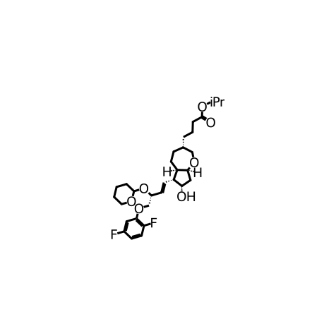 CC(C)OC(=O)CCC[C@H]1CC[C@@H]2[C@@H](C=C[C@H](COc3cc(F)ccc3F)OC3CCCCO3)[C@@H](O)C[C@@H]2OC1